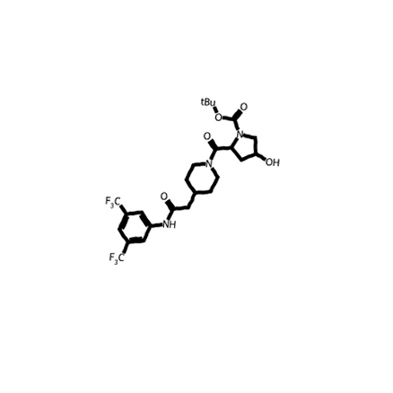 CC(C)(C)OC(=O)N1CC(O)CC1C(=O)N1CCC(CC(=O)Nc2cc(C(F)(F)F)cc(C(F)(F)F)c2)CC1